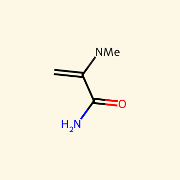 C=C(NC)C(N)=O